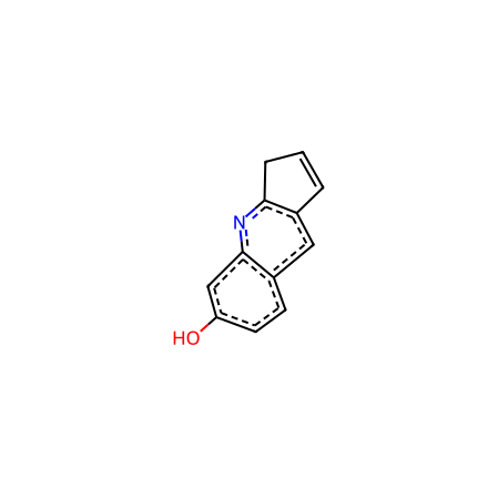 Oc1ccc2cc3c(nc2c1)CC=C3